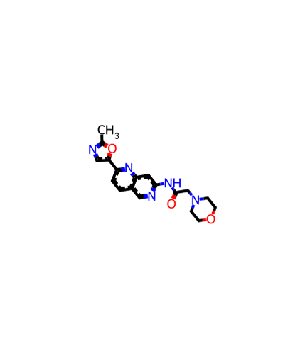 Cc1ncc(-c2ccc3cnc(NC(=O)CN4CCOCC4)cc3n2)o1